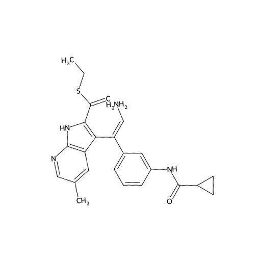 C=C(SCC)c1[nH]c2ncc(C)cc2c1/C(=C\N)c1cccc(NC(=O)C2CC2)c1